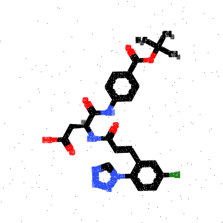 CC(C)(C)OC(=O)c1ccc(NC(=O)[C@H](CC(=O)O)NC(=O)C=Cc2cc(Cl)ccc2-n2cnnn2)cc1